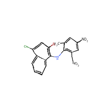 O=[N+]([O-])c1cc([N+](=O)[O-])c(Nc2c(Br)cc(Cl)c3ccccc23)c(C(F)(F)F)c1